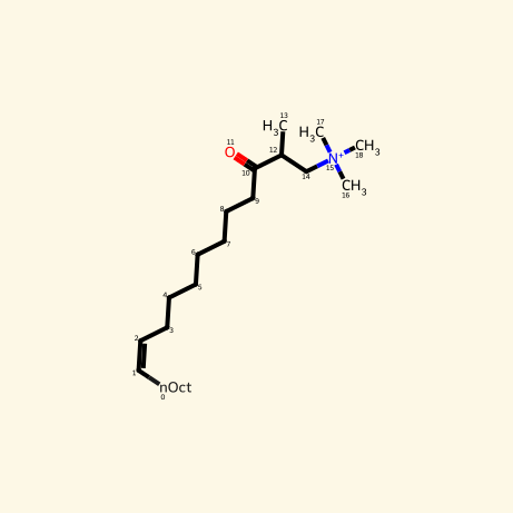 CCCCCCCC/C=C\CCCCCCCC(=O)C(C)C[N+](C)(C)C